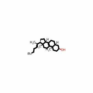 CCC(C)CCC[C@@H](C)[C@H]1CC[C@H]2C3=C(CC[C@]12C)[C@@]1(C)CC[C@H](O)C[C@@H]1CC3